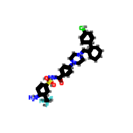 Nc1ccc(S(=O)(=O)NC(=O)c2ccc(N3CCN(CC4=C(c5ccc(Cl)cc5)CCCCC4)CC3)cc2)cc1C(F)(F)F